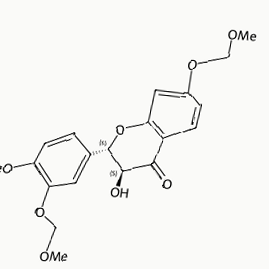 COCOc1ccc2c(c1)O[C@@H](c1ccc(OC)c(OCOC)c1)[C@H](O)C2=O